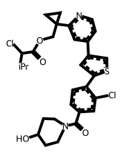 CC(C)C(Cl)C(=O)OCC1(c2cc(-c3csc(-c4ccc(C(=O)N5CCC(O)CC5)cc4Cl)c3)ccn2)CC1